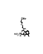 COCCOCCNC(=O)n1c(CNC(=O)O)nc2c(C)cccc21